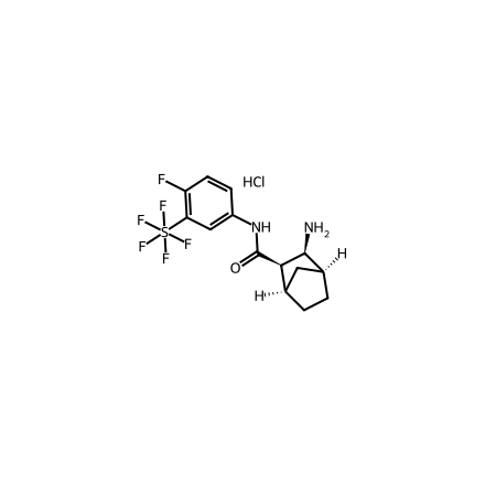 Cl.N[C@H]1[C@H]2CC[C@H](C2)[C@H]1C(=O)Nc1ccc(F)c(S(F)(F)(F)(F)F)c1